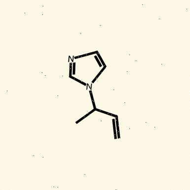 C=CC(C)n1ccnc1